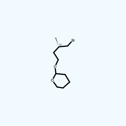 C[C@H](CBr)CCOC1CCCCO1